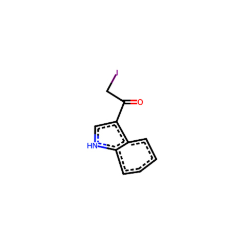 O=C(CI)c1c[nH]c2ccccc12